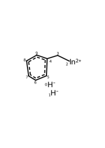 [H-].[H-].[In+2][CH2]c1ccccc1